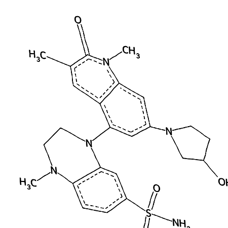 Cc1cc2c(N3CCN(C)c4ccc(S(N)(=O)=O)cc43)cc(N3CCC(O)C3)cc2n(C)c1=O